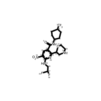 O=C(NC1CCC(C(F)(F)F)CC1)c1cc([N+](=O)[O-])c(NCC(F)F)nc1C1CNCCO1